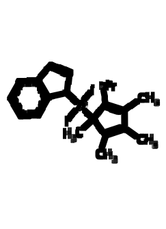 CCCC1=C(C)C(C)=C(C)[C]1(C)[Zr]([I])([I])[CH]1C=Cc2ccccc21